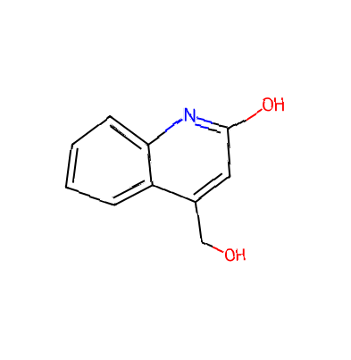 OCc1cc(O)nc2ccccc12